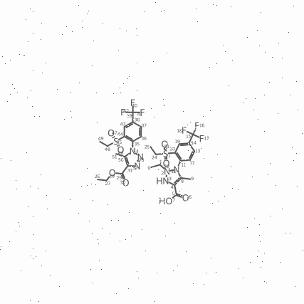 CCN1NC(C(=O)O)=C(C)N1c1ccc(C(F)(F)F)cc1S(=O)(=O)CC.CCOC(=O)c1nnn(-c2ccc(C(F)(F)F)cc2S(=O)(=O)CC)c1C